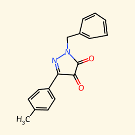 Cc1ccc(C2=NN(Cc3ccccc3)C(=O)C2=O)cc1